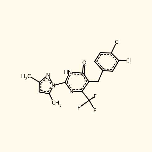 Cc1cc(C)n(-c2nc(C(F)(F)F)c(Cc3ccc(Cl)c(Cl)c3)c(=O)[nH]2)n1